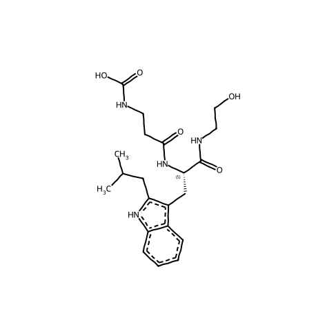 CC(C)Cc1[nH]c2ccccc2c1C[C@H](NC(=O)CCNC(=O)O)C(=O)NCCO